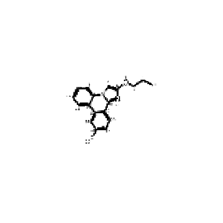 CCCOc1cn2c3ccccc3c3cc(F)ccc3c2n1